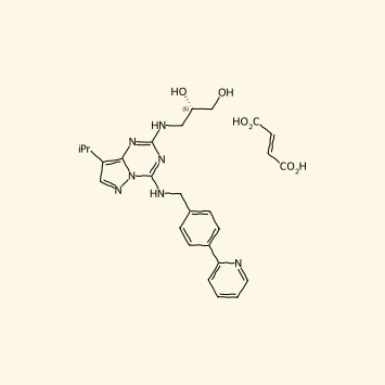 CC(C)c1cnn2c(NCc3ccc(-c4ccccn4)cc3)nc(NC[C@H](O)CO)nc12.O=C(O)C=CC(=O)O